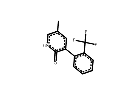 Cc1c[nH]c(=O)c(-c2ccccc2C(F)(F)F)c1